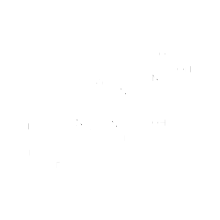 Cn1cc(N(C2CN(C(=O)O)CC2CO)[SH](=O)=O)c(F)c1C(=O)Nc1cc(F)c(F)c(F)c1